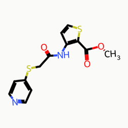 COC(=O)c1sccc1NC(=O)CSc1ccncc1